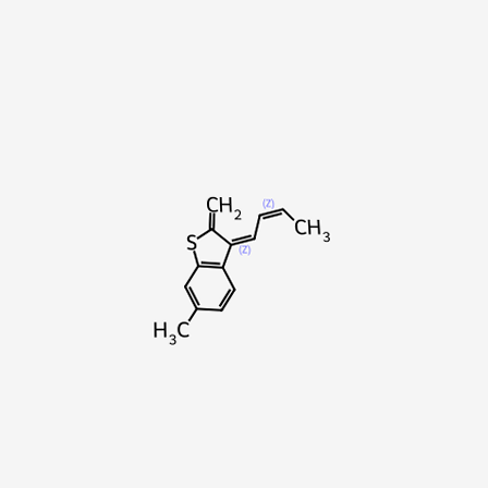 C=c1sc2cc(C)ccc2/c1=C/C=C\C